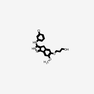 COc1cc2c(cc1OCCCO)Cc1c-2n[nH]c1Nc1cccc(Cl)c1